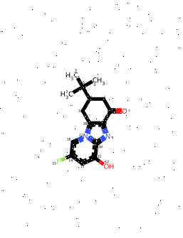 CC(C)(C)C1CC(=O)c2nc3c(O)cc(F)cn3c2C1